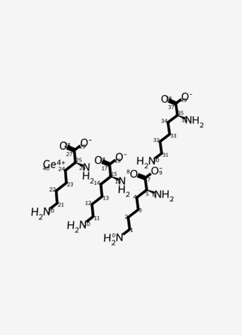 NCCCC[C@H](N)C(=O)[O-].NCCCC[C@H](N)C(=O)[O-].NCCCC[C@H](N)C(=O)[O-].NCCCC[C@H](N)C(=O)[O-].[Ge+4]